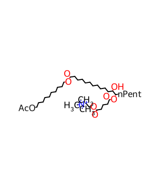 CCCCCC(OC(=O)CCCC(=O)OCC[N+](C)(C)C)C(O)CCCCCCCCCCC(=O)OCCCCCCCCCCOC(C)=O